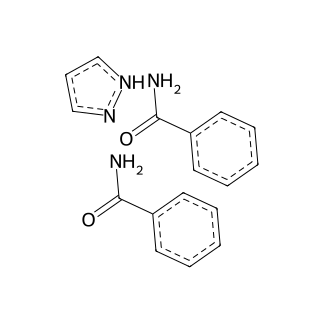 NC(=O)c1ccccc1.NC(=O)c1ccccc1.c1cn[nH]c1